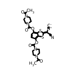 [C-]#[N+]C(C#N)=C1Sc2c(OC(=O)N3CCN(C(C)=O)CC3)ccc(OC(=O)N3CCN(C(C)=O)CC3)c2S1